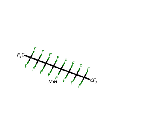 FC(F)(F)C(F)(F)C(F)(F)C(F)(F)C(F)(F)C(F)(F)C(F)(F)C(F)(F)C(F)(F)C(F)(F)F.[NaH]